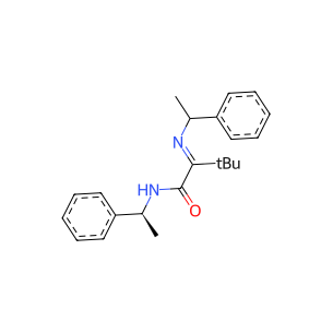 CC(N=C(C(=O)N[C@@H](C)c1ccccc1)C(C)(C)C)c1ccccc1